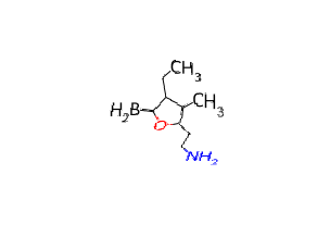 BC1OC(CCN)C(C)C1CC